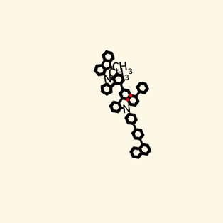 CC1(C)c2ccccc2-c2cccc(-n3c4ccccc4c4c(-c5cccc(-c6ccccc6N(c6ccc(-c7ccccc7)cc6)c6ccc(-c7ccc(-c8cccc9ccccc89)cc7)cc6)c5)cccc43)c21